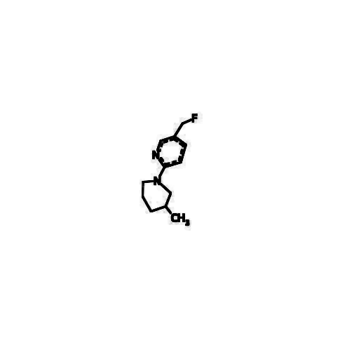 CC1CCCN(c2ccc(CF)cn2)C1